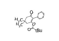 CC1(C)CC(=O)C(c2ccccc2)=C(OC(=O)C(C)(C)C)C1